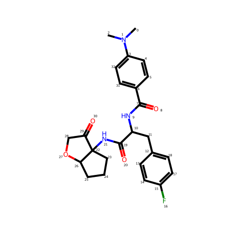 CN(C)c1ccc(C(=O)NC(Cc2ccc(F)cc2)C(=O)NC23CCCC2OCC3=O)cc1